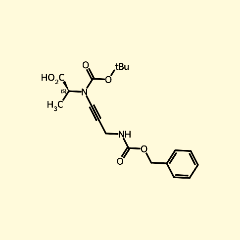 C[C@@H](C(=O)O)N(C#CCNC(=O)OCc1ccccc1)C(=O)OC(C)(C)C